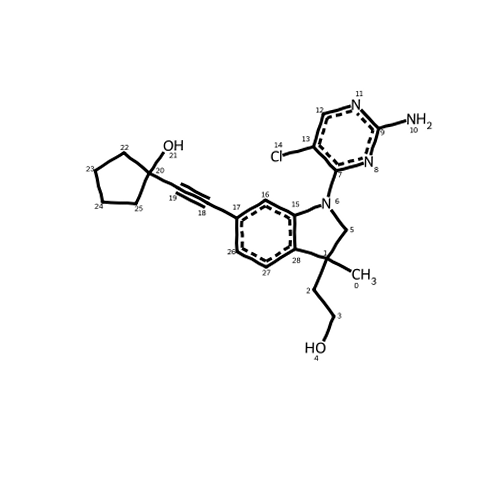 CC1(CCO)CN(c2nc(N)ncc2Cl)c2cc(C#CC3(O)CCCC3)ccc21